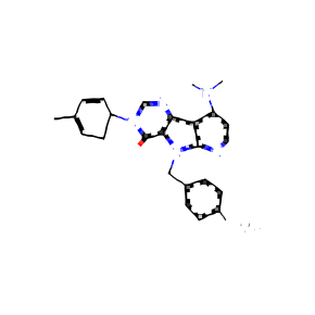 COc1ccc(Cn2c3nccc(N(C)C)c3c3ncn(C4C=CC(C)=CC4)c(=O)c32)cc1